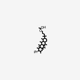 CC(O)OCCCC(C)(C)C1CCC2C(C1C)C(C)C1C(C)C3(C)C(C)C(C(C)C)C(C)CC3(C)C(C)C1(C)C2C